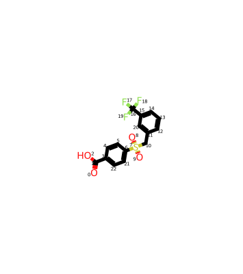 O=C(O)c1ccc(S(=O)(=O)Cc2cccc(C(F)(F)F)c2)cc1